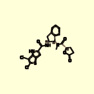 CN(C(=O)[C@@H]1CCC(=O)O1)[C@H]1c2ccccc2C[C@H]1NC(=O)c1cc2sc(Cl)c(Cl)c2[nH]1